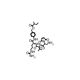 CCC(C)C(=O)OCc1ccc(NC(=O)C(CCCNC(N)=O)NC(=O)C(NC(=O)C(CN)N2C(=O)C=CC2=O)C(C)C)cc1